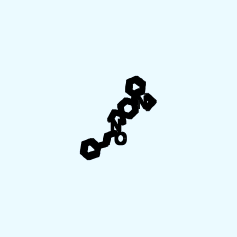 O=C(/C=C/c1ccccc1)N1CCC2(CCC(c3ccccc3)(N3CCC3)CC2)C1